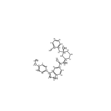 CC(C)Oc1ccc(-c2n[nH]c3ccc(C(=O)N[C@@H]4CCC[C@@](O)(Cc5ccccc5F)C4)cc23)cn1